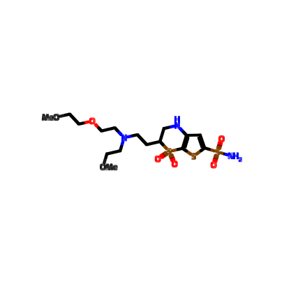 COCCOCCN(CCOC)CCC1CNc2cc(S(N)(=O)=O)sc2S1(=O)=O